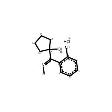 CN=C(c1ccccc1Cl)C1(O)CCCC1.Cl